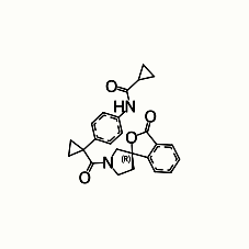 O=C1O[C@]2(CCN(C(=O)C3(c4ccc(NC(=O)C5CC5)cc4)CC3)C2)c2ccccc21